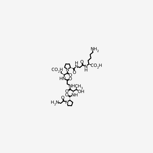 C[C@@H](O)[C@H](NC(=O)[C@@H]1CCCN1C(=O)CN)C(=O)NCC(=O)N[C@@H](CC(=O)O)C(=O)N1CCC[C@H]1C(=O)NCC(=O)N[C@@H](CCCCN)C(=O)O